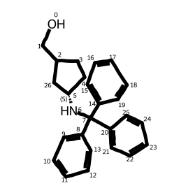 OCC1CC[C@H](NC(c2ccccc2)(c2ccccc2)c2ccccc2)C1